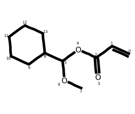 C=CC(=O)OC(OC)C1CCCCC1